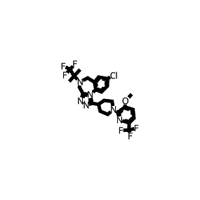 COc1ccc(C(F)(F)F)nc1N1CCC(c2nnc3n2-c2ccc(Cl)cc2CN(C(C)(C)C(F)(F)F)C3)CC1